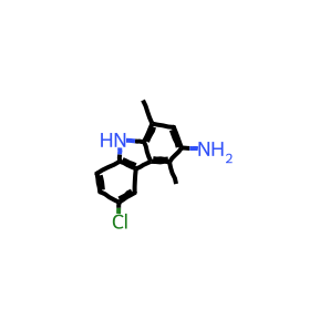 Cc1cc(N)c(C)c2c1[nH]c1ccc(Cl)cc12